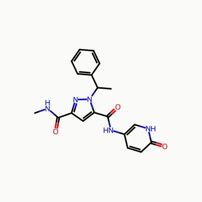 CNC(=O)c1cc(C(=O)Nc2ccc(=O)[nH]c2)n(C(C)c2ccccc2)n1